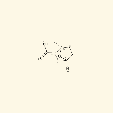 C[C@@]12CC[C@@H](C[C@@H]1C(=O)O)O2